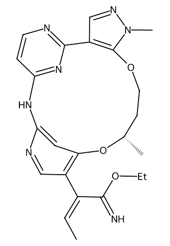 C/C=C(\C(=N)OCC)c1cnc2cc1O[C@@H](C)CCOc1c(cnn1C)-c1nccc(n1)N2